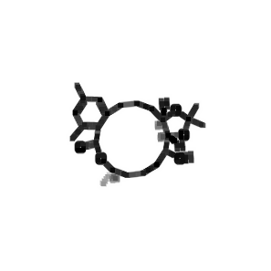 Cc1cc(C)c2c(c1)CCC[C@@H]1OC(C)(C)O[C@@H]1C(O)CCC[C@H](C)OC2=O